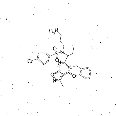 CCC(c1nc2onc(C)c2c(=O)n1Cc1ccccc1)N(CCCN)S(=O)(=O)c1ccc(Cl)cc1